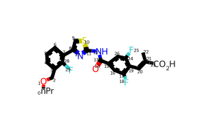 CCCOCc1cccc(-c2csc(NC(=O)c3cc(F)c(C=C(C)C(=O)O)c(F)c3)n2)c1F